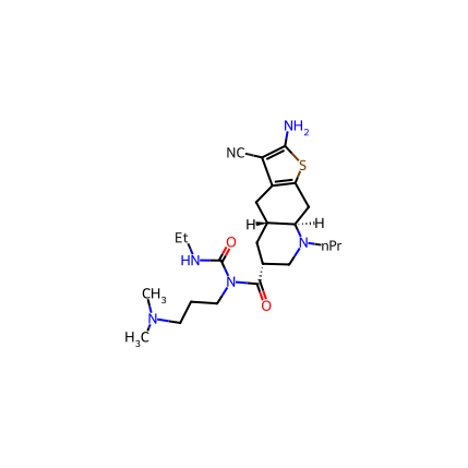 CCCN1C[C@H](C(=O)N(CCCN(C)C)C(=O)NCC)C[C@@H]2Cc3c(sc(N)c3C#N)C[C@H]21